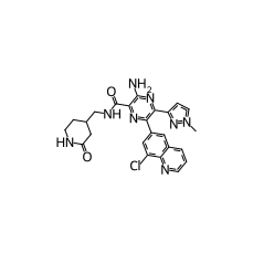 Cn1ccc(-c2nc(N)c(C(=O)NCC3CCNC(=O)C3)nc2-c2cc(Cl)c3ncccc3c2)n1